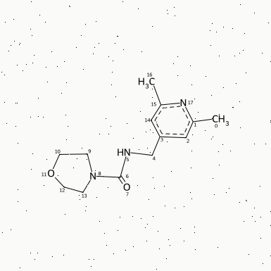 Cc1cc(CNC(=O)N2CCOCC2)cc(C)n1